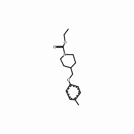 CCOC(=O)N1CCC(COc2ccc(C)cc2)CC1